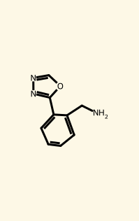 NCc1ccccc1-c1nnco1